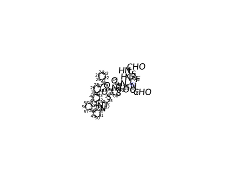 O=CNc1nc(/C(=N/OC=O)C(=O)N[C@@H]2C(=O)N3C(C(=O)OC(c4ccccc4)c4ccccc4)=C(SCc4cnn(C(c5ccccc5)(c5ccccc5)c5ccccc5)c4)CS[C@H]23)c(F)s1